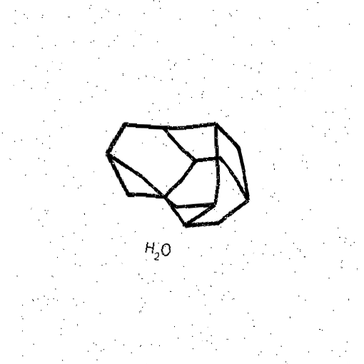 C1C2CC3C4CC5CC(C14)C(C2)C3C5.O